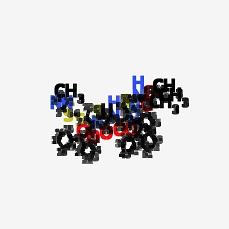 Cn1ncc(SCSC2=C(C(=O)OC(c3ccccc3)c3ccccc3)N3C(=O)[C@@H](NC(=O)/C(=N\OC(c4ccccc4)(c4ccccc4)c4ccccc4)c4csc(NC(=O)OC(C)(C)C)n4)[C@@H]3SC2)n1